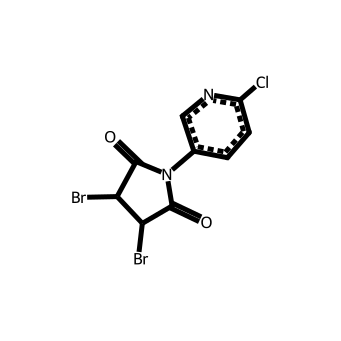 O=C1C(Br)C(Br)C(=O)N1c1ccc(Cl)nc1